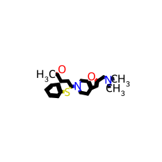 CC(=O)CCC(Sc1ccccc1)N1CCc2cc(CN(C)C)oc2C1